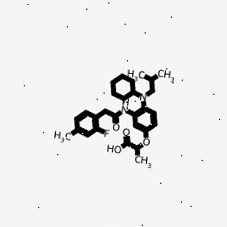 Cc1ccc(CC(=O)Nc2cc(OC(C)C(=O)O)ccc2N(CC(C)C)C2CCCCC2)c(F)c1